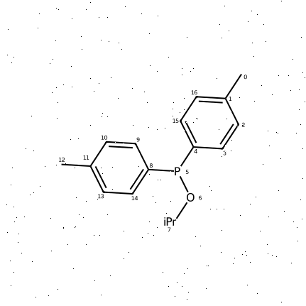 Cc1ccc(P(OC(C)C)c2ccc(C)cc2)cc1